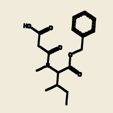 CCC(C)C(C(=O)OCc1ccccc1)N(C)C(=O)CC(=O)O